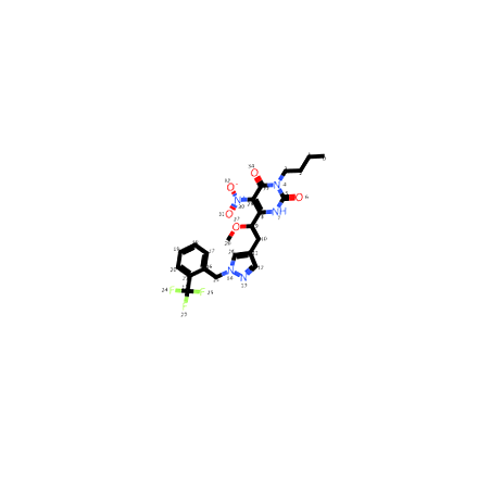 CCCCn1c(=O)[nH]c(C(Cc2cnn(Cc3ccccc3C(F)(F)F)c2)OC)c([N+](=O)[O-])c1=O